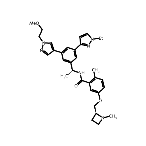 CCn1ccc(-c2cc(-c3cnn(CCOC)c3)cc([C@@H](C)NC(=O)c3cc(OC[C@@H]4CCN4C)ccc3C)c2)n1